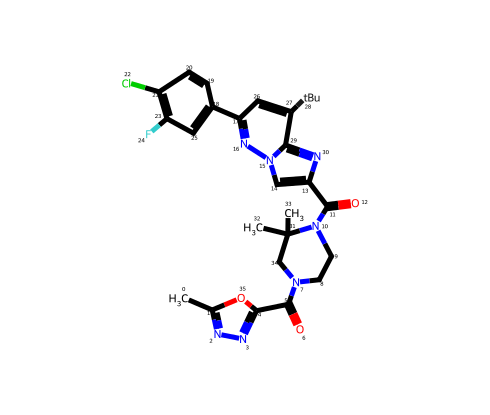 Cc1nnc(C(=O)N2CCN(C(=O)c3cn4nc(-c5ccc(Cl)c(F)c5)cc(C(C)(C)C)c4n3)C(C)(C)C2)o1